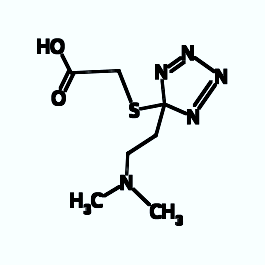 CN(C)CCC1(SCC(=O)O)N=NN=N1